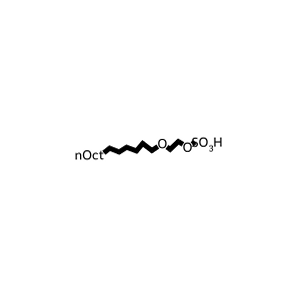 CCCCCCCCCCCCCCOCCOS(=O)(=O)O